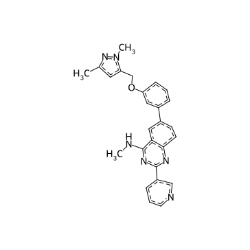 CNc1nc(-c2cccnc2)nc2ccc(-c3cccc(OCc4cc(C)nn4C)c3)cc12